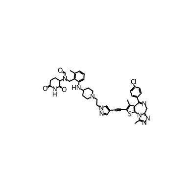 Cc1cccc(NC2CCN(CCn3cc(C#Cc4sc5c(c4C)C(c4ccc(Cl)cc4)=NCc4nnc(C)n4-5)cn3)CC2)c1CN(C=O)C1CCC(=O)NC1=O